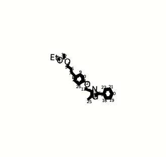 CCOC(C)OCCCc1ccc(OCc2nc(-c3ccccc3)oc2C)cc1